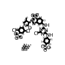 CC1=CN(c2cc(Cl)c(S(=O)(=O)[O-])cc2Cl)C(=O)C1N=Nc1cc(Nc2nc(Cl)nc(Nc3ccc(S(=O)(=O)[O-])cc3)n2)ccc1S(=O)(=O)[O-].[Na+].[Na+].[Na+]